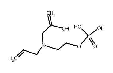 C=CCN(CCOP(=O)(O)O)CC(=C)O